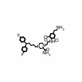 NCCc1cc(Cl)c(NC(=O)CN2CCN(CCCCC(c3ccc(F)cc3)c3ccc(F)cc3)CC2C(N)=O)c(Cl)c1